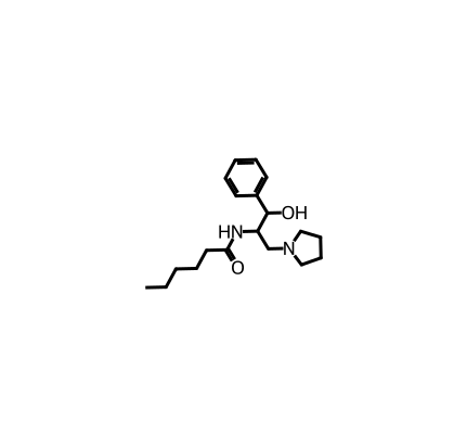 CCCCCC(=O)NC(CN1CCCC1)C(O)c1ccccc1